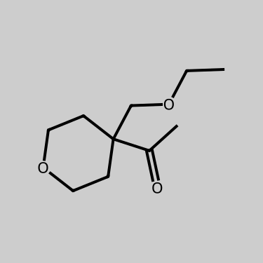 CCOCC1(C(C)=O)CCOCC1